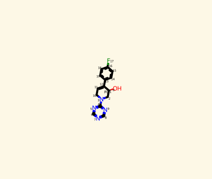 O[C@H]1CN(c2ncncn2)CC=C1c1ccc(F)cc1